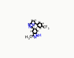 Cc1n[nH]c2ccc(-c3nnc4n3C(c3ccc(C(F)(F)F)cc3)CC4)cc12